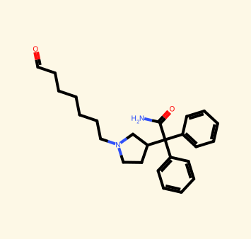 NC(=O)C(c1ccccc1)(c1ccccc1)C1CCN(CCCCCCC=O)C1